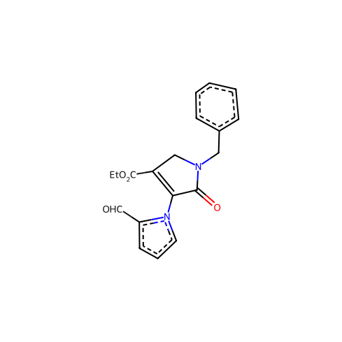 CCOC(=O)C1=C(n2cccc2C=O)C(=O)N(Cc2ccccc2)C1